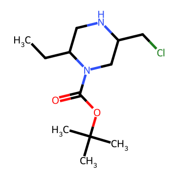 CCC1CNC(CCl)CN1C(=O)OC(C)(C)C